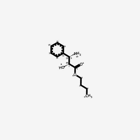 CCCCOC(=O)[C@H](O)[C@@H](N)c1ccccc1